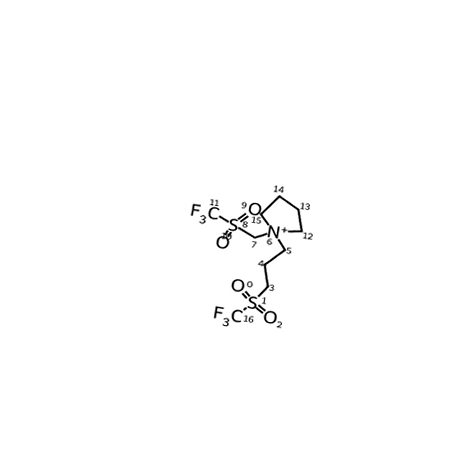 O=S(=O)(CCC[N+]1(CS(=O)(=O)C(F)(F)F)CCCC1)C(F)(F)F